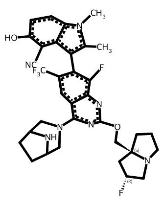 Cc1c(-c2c(C(F)(F)F)cc3c(N4CC5CCC(C4)N5)nc(OC[C@@]45CCCN4C[C@H](F)C5)nc3c2F)c2c(C#N)c(O)ccc2n1C